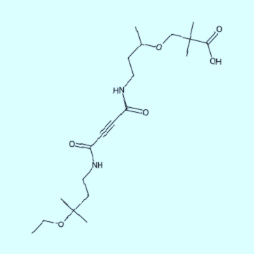 CCOC(C)(C)CCNC(=O)C#CC(=O)NCCC(C)OCC(C)(C)C(=O)O